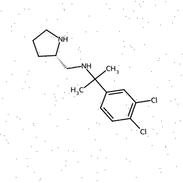 CC(C)(NC[C@@H]1CCCN1)c1ccc(Cl)c(Cl)c1